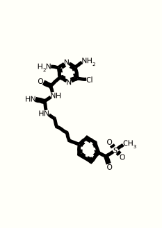 CS(=O)(=O)C(=O)c1ccc(CCCCNC(=N)NC(=O)c2nc(Cl)c(N)nc2N)cc1